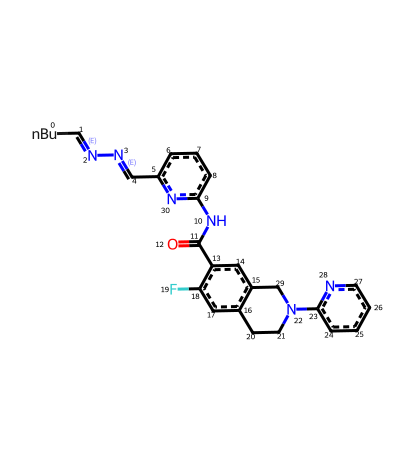 CCCC/C=N/N=C/c1cccc(NC(=O)c2cc3c(cc2F)CCN(c2ccccn2)C3)n1